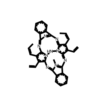 C=Cc1c(/C=C\C)c2n3c1/N=C1/c4ccccc4C(=[N+]1C)/N=c1/c(C=C)c(/C=C\C)/c(n1N3)=N/C1=NC(=N\2)/c2ccccc21